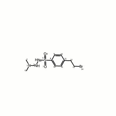 CN(C)NNS(=O)(=O)c1ccc(CCBr)cc1